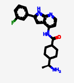 C[C@H](N)C1CCC(C(=O)Nc2ccnc3[nH]c(-c4cccc(F)c4)cc23)CC1